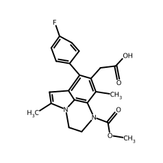 COC(=O)N1CCn2c(C)cc3c(-c4ccc(F)cc4)c(CC(=O)O)c(C)c1c32